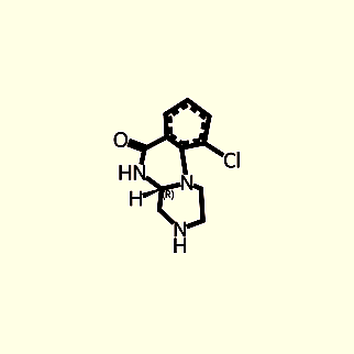 O=C1N[C@H]2CNCCN2c2c(Cl)cccc21